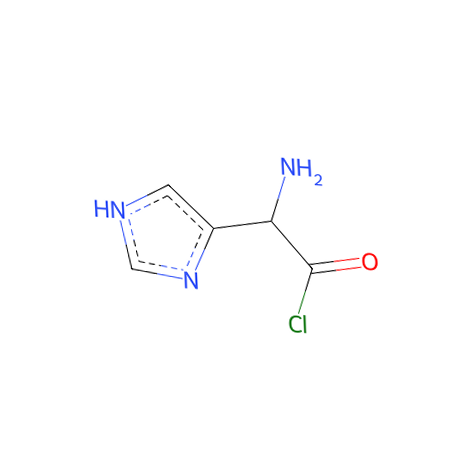 NC(C(=O)Cl)c1c[nH]cn1